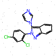 Clc1ccc(-n2nc3ccccc3c2-n2ccnc2)c(Cl)c1